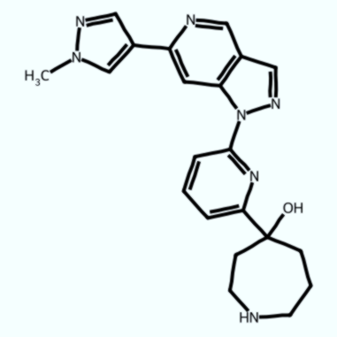 Cn1cc(-c2cc3c(cn2)cnn3-c2cccc(C3(O)CCCNCC3)n2)cn1